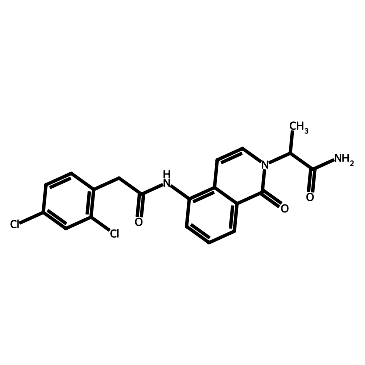 CC(C(N)=O)n1ccc2c(NC(=O)Cc3ccc(Cl)cc3Cl)cccc2c1=O